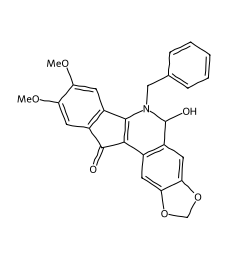 COc1cc2c(cc1OC)C1=C(C2=O)c2cc3c(cc2C(O)N1Cc1ccccc1)OCO3